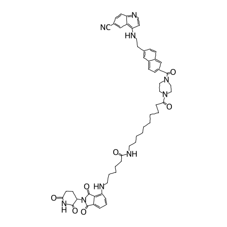 N#Cc1ccc2nccc(NCCc3ccc4cc(C(=O)N5CCN(C(=O)CCCCCCCCCNC(=O)CCCCCNc6cccc7c6C(=O)N(C6CCC(=O)NC6=O)C7=O)CC5)ccc4c3)c2c1